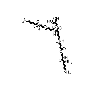 NCCCCC(N)C(=O)NCCOC(=O)CCC(=O)NCCCCC(NC(=O)CCC(=O)OCCNC(=O)C(N)CCCCN)C(=O)OCC(CO)CO